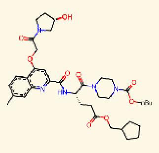 CCCCOC(=O)N1CCN(C(=O)[C@H](CCC(=O)OCC2CCCC2)NC(=O)c2cc(OCC(=O)N3CC[C@@H](O)C3)c3ccc(C)cc3n2)CC1